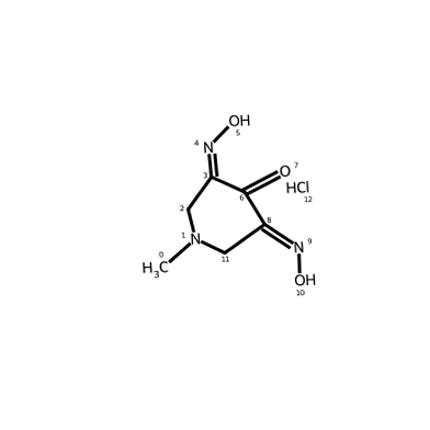 CN1CC(=NO)C(=O)C(=NO)C1.Cl